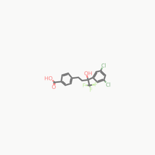 O=C(O)c1ccc(CCC(O)(c2cc(Cl)cc(Cl)c2)C(F)(F)F)cc1